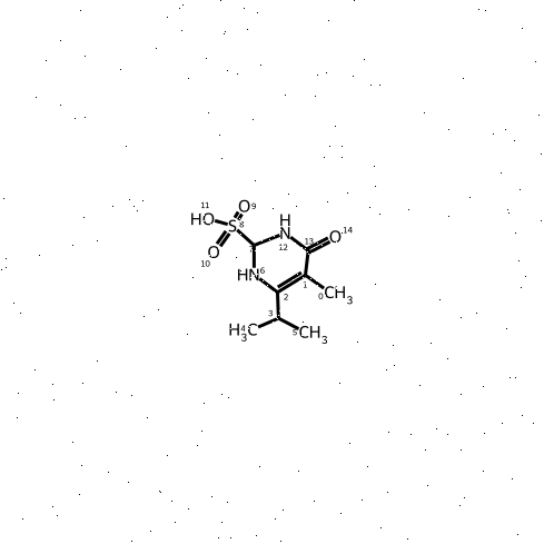 CC1=C(C(C)C)NC(S(=O)(=O)O)NC1=O